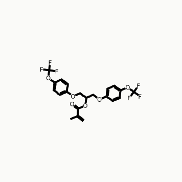 C=C(C)C(=O)OC(COc1ccc(OC(F)(F)F)cc1)COc1ccc(OC(F)(F)F)cc1